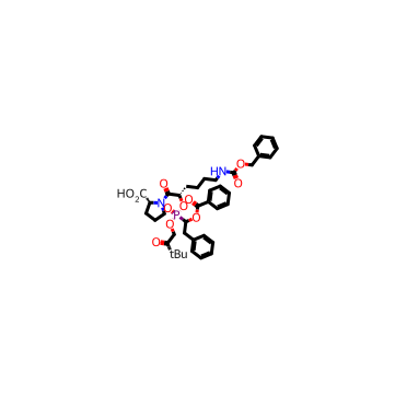 CC(C)(C)C(=O)COP(=O)(O[C@@H](CCCCNC(=O)OCc1ccccc1)C(=O)N1CCC[C@H]1C(=O)O)C(Cc1ccccc1)OC(=O)c1ccccc1